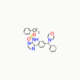 O=S(=O)(Nc1nccnc1-c1ccc(C(C2=CC=CCC2)N2C=COC=C2)cc1)c1ccccc1C(F)(F)F